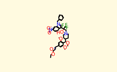 CCOC(=O)/C=C/c1cc(OC)c(C(OC)C2CCN(CC(O)(c3cn(Cc4ccccc4)c4cc([N+](=O)[O-])ccc34)C(F)(F)F)CC2)c(OC)c1